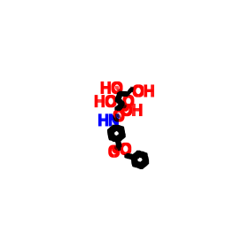 O=C(OCc1ccccc1)c1ccc(NOCC2(O)O[C@H](CO)[C@@H](O)[C@@H]2O)cc1